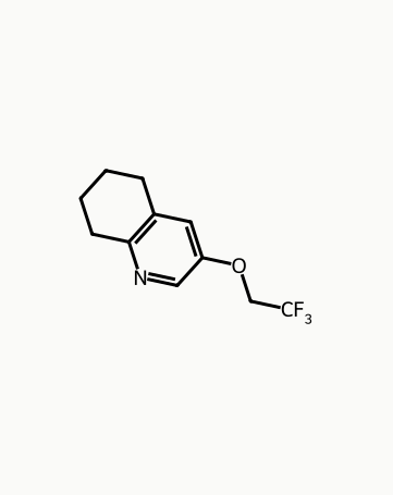 FC(F)(F)COc1cnc2c(c1)CCCC2